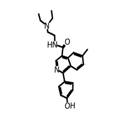 CCN(CC)CCNC(=O)c1cnc(-c2ccc(O)cc2)c2ccc(C)cc12